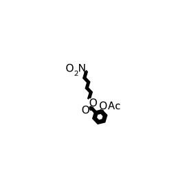 CC(=O)Oc1ccccc1C(=O)OCCCCCC[N+](=O)[O-]